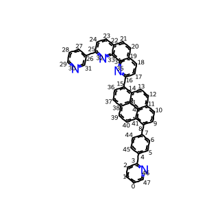 c1ccc(-c2ccc(-c3ccc4ccc5c(-c6ccc7ccc8ccc(-c9cccnc9)nc8c7n6)ccc6ccc3c4c65)cc2)nc1